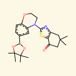 CC1(C)CC(=O)c2sc(N3CCOc4ccc(B5OC(C)(C)C(C)(C)O5)cc43)nc2C1